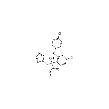 COC(=O)C(O)(Cn1cncn1)c1ccc(Cl)cc1Oc1ccc(Cl)cc1